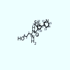 NC(CCCO)NC(=O)c1cc(-c2cccnc2)n2c1CSC2